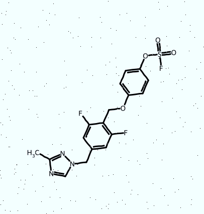 Cc1ncn(Cc2cc(F)c(COc3ccc(OS(=O)(=O)F)cc3)c(F)c2)n1